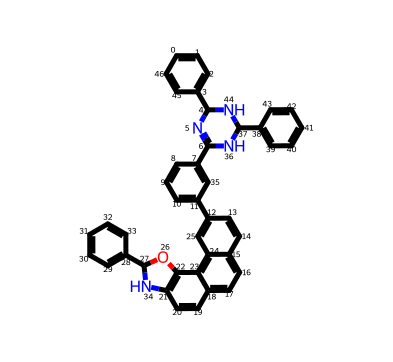 c1ccc(C2N=C(c3cccc(-c4ccc5ccc6ccc7c(c6c5c4)OC(c4ccccc4)N7)c3)NC(c3ccccc3)N2)cc1